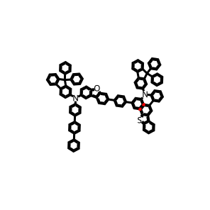 c1ccc(-c2ccc(-c3ccc(N(c4ccc5c(c4)C(c4ccccc4)(c4ccccc4)c4ccccc4-5)c4ccc5oc6cc(-c7ccc(-c8cccc(N(c9ccc%10c(c9)C(c9ccccc9)(c9ccccc9)c9ccccc9-%10)c9ccccc9-c9ccc%10sc%11ccccc%11c%10c9)c8)cc7)ccc6c5c4)cc3)cc2)cc1